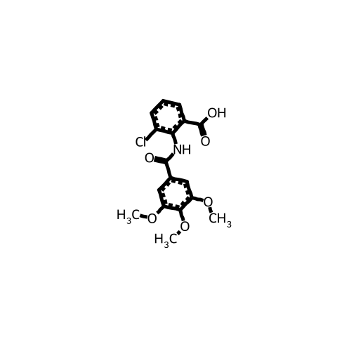 COc1cc(C(=O)Nc2c(Cl)cccc2C(=O)O)cc(OC)c1OC